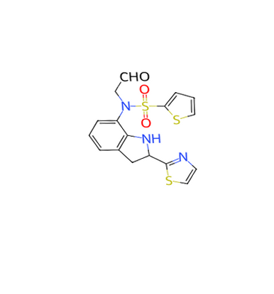 O=CCN(c1cccc2c1NC(c1nccs1)C2)S(=O)(=O)c1cccs1